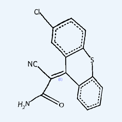 N#C/C(C(N)=O)=C1/c2ccccc2Sc2ccc(Cl)cc21